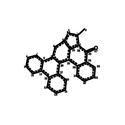 Cc1nc2cc3c4ccccc4c4ccccc4c3c3c4ccccc4c(=O)n1c23